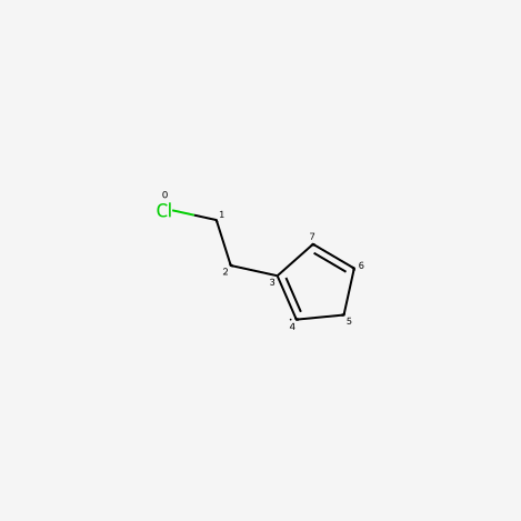 ClCCC1=[C]CC=C1